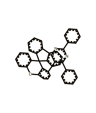 c1ccc(-c2ncc(-c3cccc4c3C3(c5ccccc5O4)c4ccccc4-c4ccccc43)c(-c3ccccc3)n2)cc1